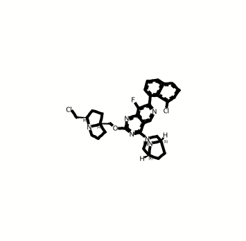 Fc1c(-c2cccc3cccc(Cl)c23)ncc2c(N3C[C@H]4CC[C@@H](C3)N4)nc(OC[C@@]34CCCN3[C@@H](CCl)CC4)nc12